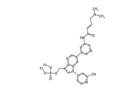 CCOP(=O)(OCC)OCn1cc(-c2ccnc(C#N)c2)c2cc(-c3cncc(NC(=O)C=CCN(C)C)c3)cnc21